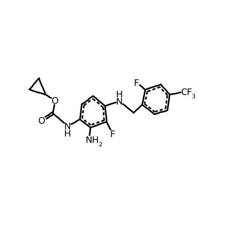 Nc1c(NC(=O)OC2CC2)ccc(NCc2ccc(C(F)(F)F)cc2F)c1F